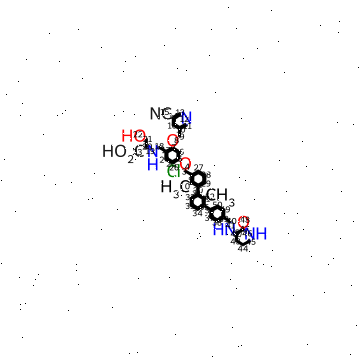 Cc1c(COc2cc(OCc3cncc(C#N)c3)c(CNC(CO)C(=O)O)cc2Cl)cccc1-c1cccc(-c2ccc(CN[C@H]3CCCNC3=O)cc2)c1C